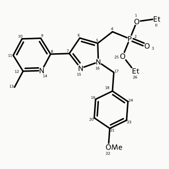 CCOP(=O)(Cc1cc(-c2cccc(C)n2)nn1Cc1ccc(OC)cc1)OCC